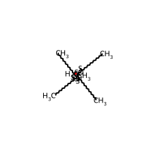 CCCCCCCCCCCCCCC(=S)OCC(C)(C)C(OC(=S)CCCCCCCCCCCCCC)(OC(=S)CCCCCCCCCCCCCC)OC(=S)CCCCCCCCCCCCCC